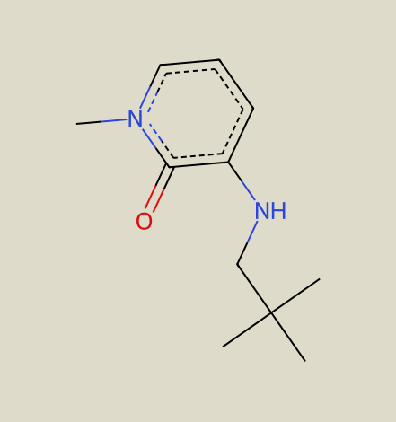 Cn1cccc(NCC(C)(C)C)c1=O